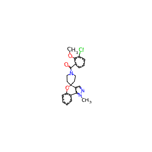 COc1c(Cl)cccc1C(=O)N1CCC2(CC1)Oc1ccccc1-c1c2cnn1C